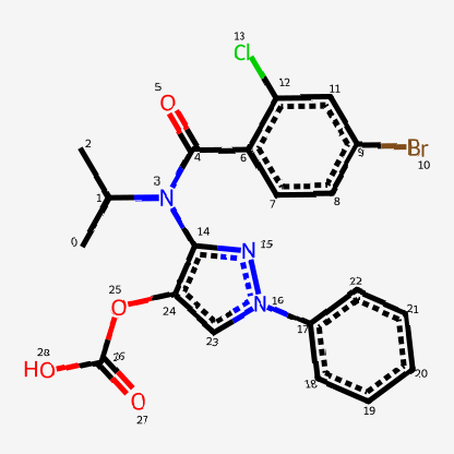 CC(C)N(C(=O)c1ccc(Br)cc1Cl)c1nn(-c2ccccc2)cc1OC(=O)O